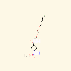 CC(C)(C)OC(=O)NC1CCC(C(=O)NCCOCCOCCCCCCCl)CC1